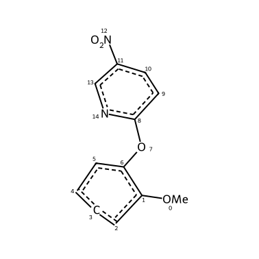 COc1ccccc1Oc1ccc([N+](=O)[O-])cn1